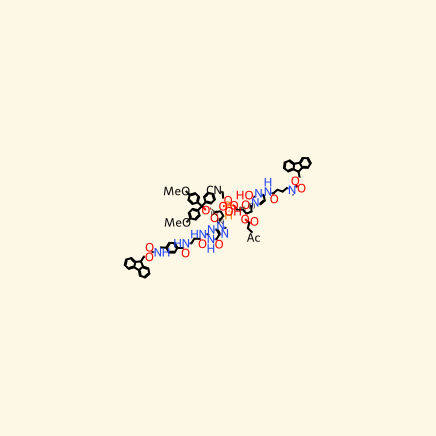 [C-]#[N+]CCO[PH](O)(OC[C@H]1O[C@@H](N2C=CC(NC(=O)CCCN(C)C(=O)OCC3c4ccccc4-c4ccccc43)=NC2O)CC1OC(=O)CCC(C)=O)OC1C[C@H](n2cnc3c(=O)[nH]c(NC(=O)CCNC(=O)c4ccc(CNC(=O)OCC5c6ccccc6-c6ccccc65)cc4)nc32)O[C@@H]1COC(c1ccccc1)(c1ccc(OC)cc1)c1ccc(OC)cc1